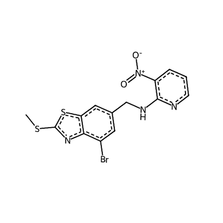 CSc1nc2c(Br)cc(CNc3ncccc3[N+](=O)[O-])cc2s1